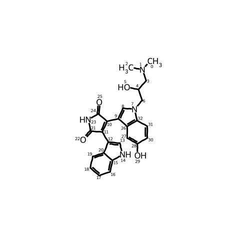 CN(C)CC(O)Cn1cc(C2=C(c3c[nH]c4ccccc34)C(=O)NC2=O)c2cc(O)ccc21